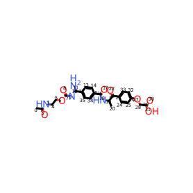 CC(=O)NCCOC(=O)N=C(N)c1ccc(C(=O)NC(C)C(=O)c2ccc(OCC(=O)O)cc2)cc1